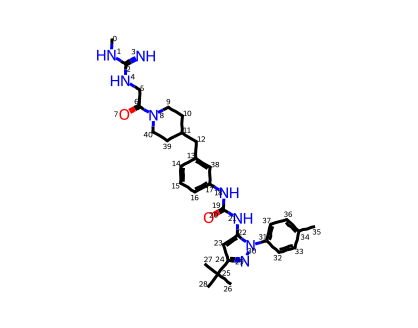 CNC(=N)NCC(=O)N1CCC(Cc2cccc(NC(=O)Nc3cc(C(C)(C)C)nn3-c3ccc(C)cc3)c2)CC1